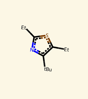 CCc1nc(C(C)(C)C)c(CC)s1